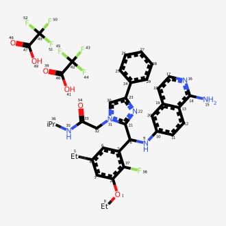 CCOc1cc(CC)cc(C(Nc2ccc3c(N)nccc3c2)c2nc(-c3ccccc3)cn2CC(=O)NC(C)C)c1F.O=C(O)C(F)(F)F.O=C(O)C(F)(F)F